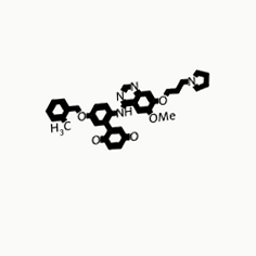 COc1cc2c(Nc3ccc(OCc4ccccc4C)cc3C3=CC(=O)C=CC3=O)ncnc2cc1OCCCN1CCCC1